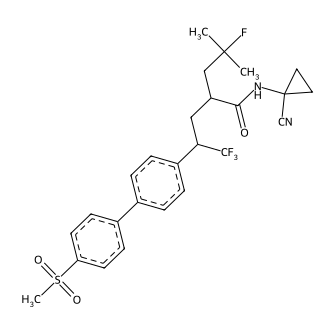 CC(C)(F)CC(CC(c1ccc(-c2ccc(S(C)(=O)=O)cc2)cc1)C(F)(F)F)C(=O)NC1(C#N)CC1